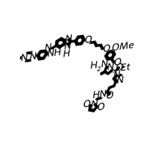 C=C1C[C@@H](C(OCC)n2cnc(CCC(=O)NCCN3C(=O)C=CC3=O)c2)N(C(=O)c2cc(OC)c(OCCCCCOc3ccc(-c4nc5ccc(-c6nc7cc(N8CCN(C)CC8)ccc7[nH]6)cc5[nH]4)cc3)cc2N)C1